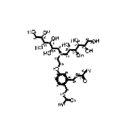 CC(C)C(=O)SCc1ccc(OCCN(C[C@H](O)[C@H](O)[C@H](O)[C@H](O)CO)C[C@H](O)[C@H](O)[C@H](O)[C@H](O)CO)cc1CSC(=O)C(C)C